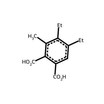 CCc1cc(C(=O)O)c(C(=O)O)c(C)c1CC